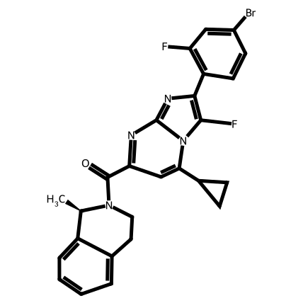 C[C@@H]1c2ccccc2CCN1C(=O)c1cc(C2CC2)n2c(F)c(-c3ccc(Br)cc3F)nc2n1